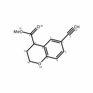 C#Cc1ccc2c(c1)C(C(=O)OC)CCO2